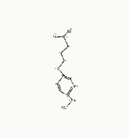 CCCCNc1ccc(OCCCN(CC)CC)cn1